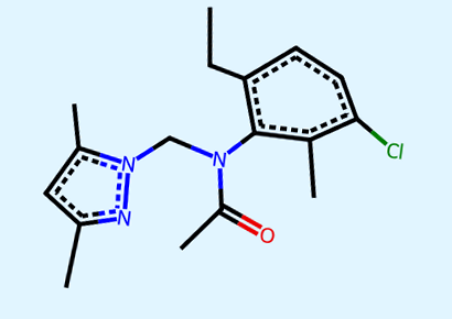 CCc1ccc(Cl)c(C)c1N(Cn1nc(C)cc1C)C(C)=O